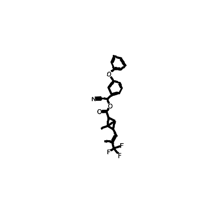 C/C(=C\C1C2C(C(=O)OC(C#N)c3cccc(Oc4ccccc4)c3)C12C)C(F)(F)F